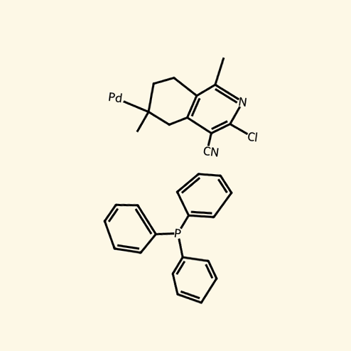 Cc1nc(Cl)c(C#N)c2c1CCC(C)(C)C2.[Pd].c1ccc(P(c2ccccc2)c2ccccc2)cc1